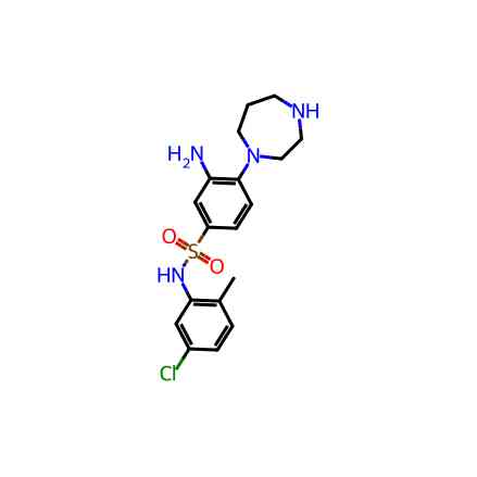 Cc1ccc(Cl)cc1NS(=O)(=O)c1ccc(N2CCCNCC2)c(N)c1